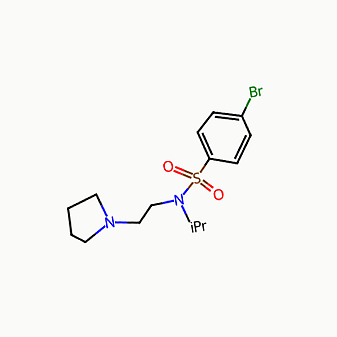 CC(C)N(CCN1CCCC1)S(=O)(=O)c1ccc(Br)cc1